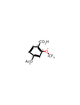 CC(=O)Oc1ccc(C(=O)O)c(OC(F)(F)F)c1